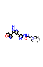 CN(C)CC=CC(=O)Nc1cncc(-c2cnc3[nH]cc(-c4ccnc5occc45)c3c2)c1